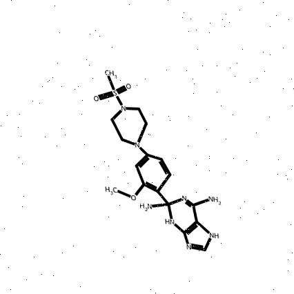 COc1cc(N2CCN(S(C)(=O)=O)CC2)ccc1C1(N)N=C(N)c2[nH]cnc2N1